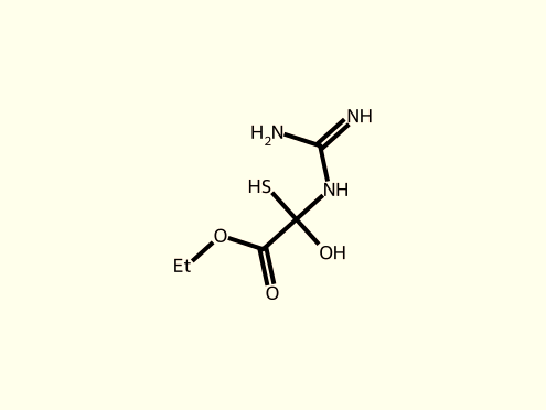 CCOC(=O)C(O)(S)NC(=N)N